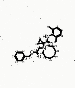 Cc1cccc(C)c1NC(=O)C1([N+]2(CC(=O)OCc3ccccc3)CCCCCCC2)CC1